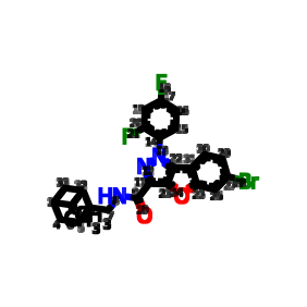 CC1(C)C2CCC(CNC(=O)c3nn(-c4ccc(F)cc4F)c4c3oc3cc(Br)ccc34)C1C2